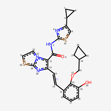 O=C(Nc1nc(C2CC2)cs1)c1c(/C=C/c2cccc(O)c2OCC2CCC2)nc2sccn12